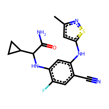 Cc1cc(Nc2cc(NC(C(N)=O)C3CC3)c(F)cc2C#N)sn1